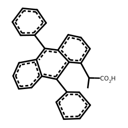 CC(C(=O)O)c1cccc2c(-c3ccccc3)c3ccccc3c(-c3ccccc3)c12